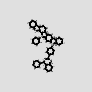 c1ccc(-c2nc(-c3ccc(-n4c5ccccc5c5cc6c7ccc8c9ccccc9sc8c7n(-c7ccccc7)c6cc54)cc3)nc3ccccc23)cc1